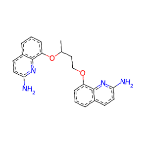 CC(CCOc1cccc2ccc(N)nc12)Oc1cccc2ccc(N)nc12